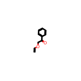 C=COCC(=O)c1ccccc1